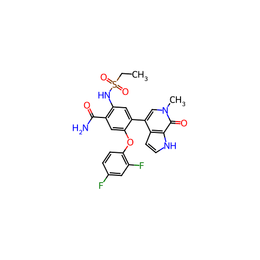 CCS(=O)(=O)Nc1cc(-c2cn(C)c(=O)c3[nH]ccc23)c(Oc2ccc(F)cc2F)cc1C(N)=O